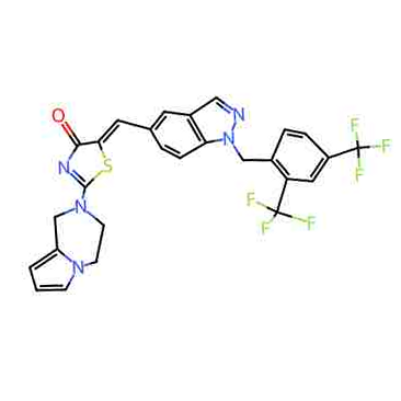 O=C1N=C(N2CCn3cccc3C2)SC1=Cc1ccc2c(cnn2Cc2ccc(C(F)(F)F)cc2C(F)(F)F)c1